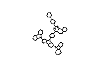 c1ccc(-c2ccc(-c3nc(-c4ccc(-n5c6cc(-n7c8ccccc8c8ccccc87)ccc6c6ccc(-n7c8ccccc8c8ccccc87)cc65)cc4)c4ccc5ccccc5c4n3)cc2)cc1